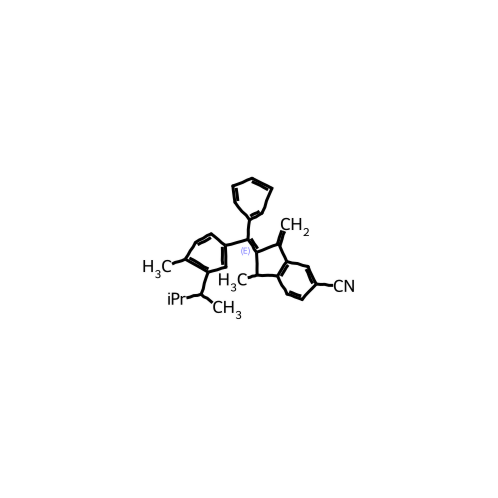 C=C1/C(=C(\c2ccccc2)c2ccc(C)c(C(C)C(C)C)c2)C(C)c2ccc(C#N)cc21